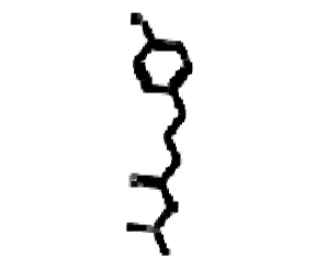 CC(C)OC(=O)CCCc1ccc(Br)cc1